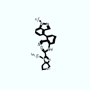 Cn1c(C(=O)Nc2cccc(-c3cccc4c3cnn4C)c2C#N)nc2c1CCNC2